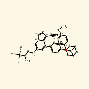 COc1ccc(CN2C3CC2CN(c2ccc(-c4cc(OCC(O)C(F)(F)F)cn5ncc(C#N)c45)cn2)C3)cn1